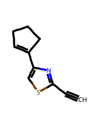 C#Cc1nc(C2=CCCC2)cs1